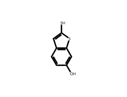 Oc1ccc2cc(S)sc2c1